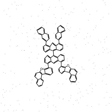 c1ccc2cc(-c3cccc4c(-c5c6cccc(-c7cccc8c7oc7ccc9ccccc9c78)c6cc6c(-c7cccc8c7oc7ccc9ccccc9c78)cccc56)c5cccc(-c6ccc7ccccc7c6)c5cc34)ccc2c1